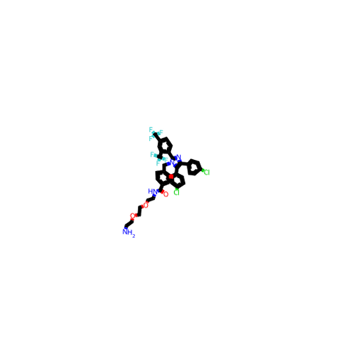 NCCOCCOCCNC(=O)c1ccc(Cn2c(-c3ccc(C(F)(F)F)cc3C(F)(F)F)nc(-c3ccc(Cl)cc3)c2-c2ccc(Cl)cc2)cc1